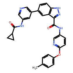 Cc1ccc(Oc2ccc(NC(=O)c3n[nH]c4ccc(-c5cncc(NC(=O)C6CC6)c5)cc34)cn2)cc1